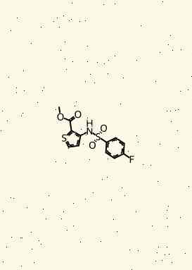 COC(=O)c1sccc1NS(=O)(=O)c1ccc(F)cc1